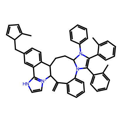 C=C1c2ccccc2N2C(c3ccccc3C)=C(c3ccccc3C)N(c3ccccc3)C2CCC2c3ccc(CC4C=CC=C4C)cc3-c3[nH]cc[n+]3C12